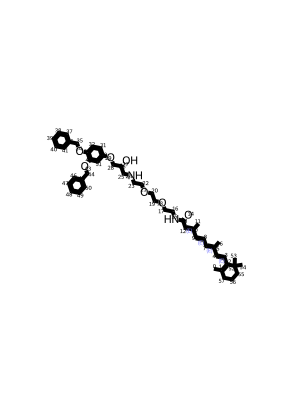 CC1=C(/C=C/C(C)=C/C=C/C(C)=C/C(=O)NCCOCCOCCNCC(O)COc2ccc(OCc3ccccc3)c(OCc3ccccc3)c2)C(C)(C)CCC1